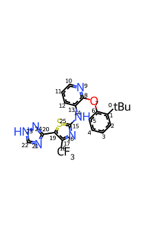 CC(C)(C)c1ccccc1Oc1ncccc1Nc1nc(C(F)(F)F)c(-c2nc[nH]n2)s1